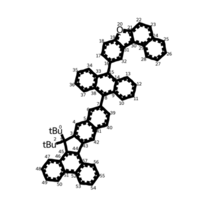 CC(C)(C)C1(C(C)(C)C)c2cc3cc(-c4c5ccccc5c(-c5ccc6oc7ccc8ccccc8c7c6c5)c5ccccc45)ccc3cc2-c2c1c1ccccc1c1ccccc21